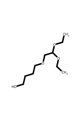 CCOC(COCCCCO)OCC